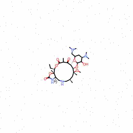 CC[C@H]1OC(=O)C(C)C(=O)[C@H](C)[C@@H](OC2OC(CN(C)C)CC(N(C)C)C2O)[C@](C)(OC)C[C@@H](C)CN[C@H](C)[C@H]2NC(=O)O[C@@]21C